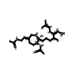 CC(=O)OC/C=C1\CC[C@@H](OC(C)=O)[C@](C)(CCCC(C)/C(CC=C(C)C)=N\O)OC1